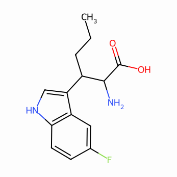 CCCC(c1c[nH]c2ccc(F)cc12)C(N)C(=O)O